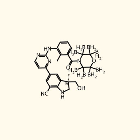 BC1(B)OC(B)(B)C(B)(B)N(C(=O)c2cccc(Nc3nccc(-c4cc(C#N)c5c(c4)[C@@](C)(CO)CN5)n3)c2C)C1(B)B